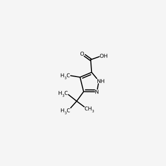 Cc1c(C(C)(C)C)n[nH]c1C(=O)O